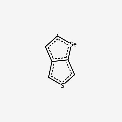 [c]1cc2cscc2[se]1